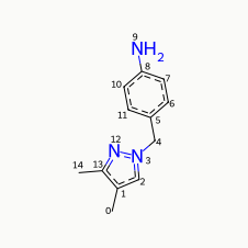 Cc1cn(Cc2ccc(N)cc2)nc1C